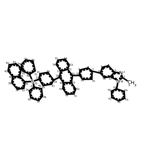 Cc1nc2ccc(-c3ccc(-c4c5ccccc5c(-c5ccc(S(c6ccccc6)(c6ccccc6)c6cccc7ccccc67)cc5)c5ccccc45)cc3)cc2n1-c1ccccc1